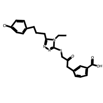 CCn1c(CCCc2ccc(Cl)cc2)nnc1SCC(=O)Cc1cccc(C(=O)O)c1